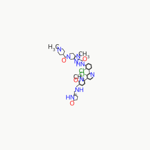 COc1nc(-c2ccnc(-c3cccc(NC(=O)c4nc5c(n4C)CCN(C(=O)C4CCN(C)CC4)C5)c3Cl)c2Cl)ccc1CNC[C@H]1CCC(=O)N1